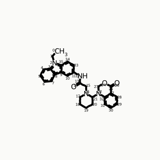 CCn1c2ccccc2c2cc(NC(=O)CN3CCCCC3N3COC(=O)c4ccccc43)ccc21